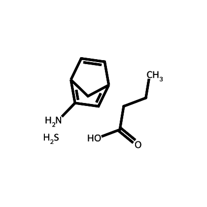 CCCC(=O)O.NC1=C2C=CC(=C1)C2.S